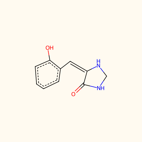 O=C1NCN/C1=C/c1ccccc1O